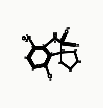 O=[N+]([O-])c1ccc(Cl)c2c1NS(=O)(=O)C21CCCC1